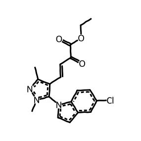 CCOC(=O)C(=O)/C=C/c1c(C)nn(C)c1-n1ccc2cc(Cl)ccc21